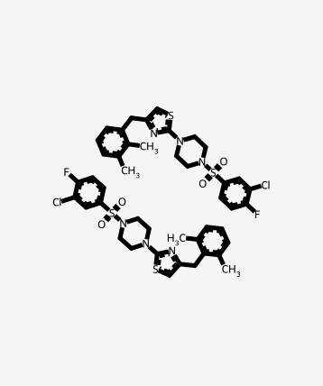 Cc1cccc(C)c1Cc1csc(N2CCN(S(=O)(=O)c3ccc(F)c(Cl)c3)CC2)n1.Cc1cccc(Cc2csc(N3CCN(S(=O)(=O)c4ccc(F)c(Cl)c4)CC3)n2)c1C